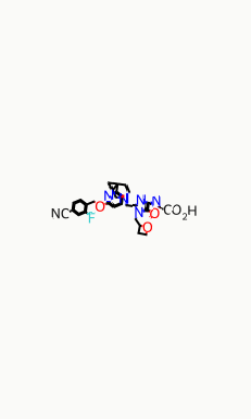 N#Cc1ccc(COc2cccc(C34CCN(Cc5nc6nc(C(=O)O)oc6n5CC5CCO5)CC3C4)n2)c(F)c1